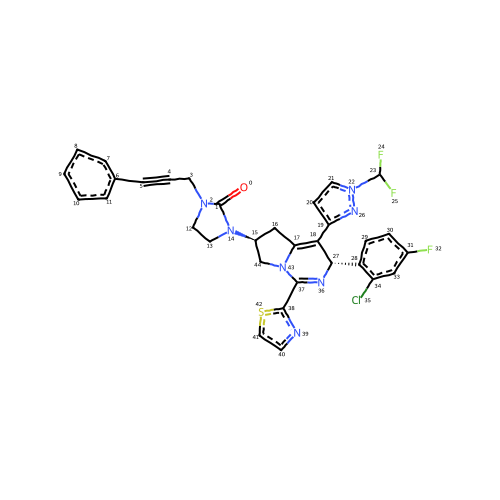 O=C1N(CC#Cc2ccccc2)CCN1[C@H]1CC2=C(c3ccn(C(F)F)n3)[C@H](c3ccc(F)cc3Cl)N=C(c3nccs3)N2C1